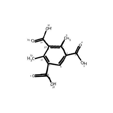 Cc1c(C(=O)O)cc(C(=O)O)c(C)c1C(=O)O